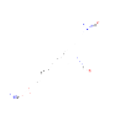 N#COCCCCCC(CCCCN=C=O)CN=C=O